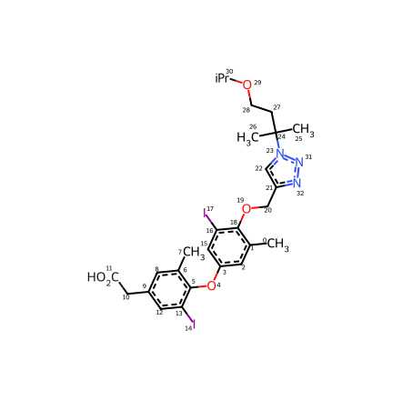 Cc1cc(Oc2c(C)cc(CC(=O)O)cc2I)cc(I)c1OCc1cn(C(C)(C)CCOC(C)C)nn1